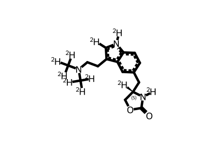 [2H]c1c(CCN(C([2H])([2H])[2H])C([2H])([2H])[2H])c2cc(C[C@@]3([2H])COC(=O)N3[2H])ccc2n1[2H]